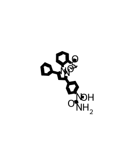 CS(=O)(=O)c1ccccc1-n1nc(-c2ccc(N(O)C(N)=O)cc2)cc1-c1ccccc1